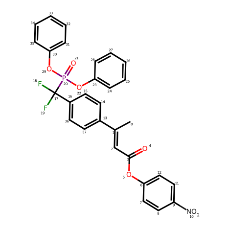 C/C(=C\C(=O)Oc1ccc([N+](=O)[O-])cc1)c1ccc(C(F)(F)P(=O)(Oc2ccccc2)Oc2ccccc2)cc1